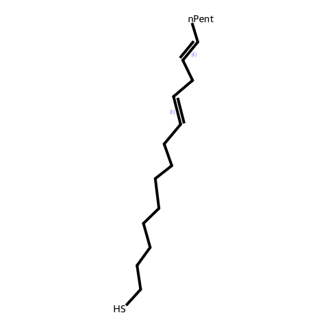 CCCCC/C=C/C/C=C/CCCCCCCCS